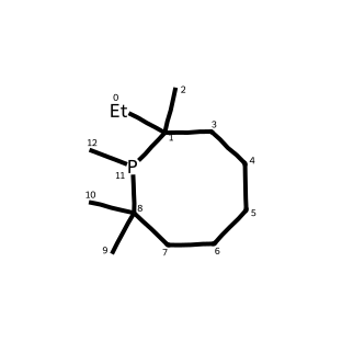 CCC1(C)CCCCCC(C)(C)P1C